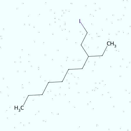 CCCCCCCC(CC)CCI